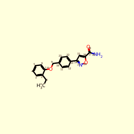 CCc1ccccc1OCc1ccc(-c2cc(C(N)=O)on2)cc1